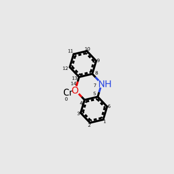 [Cr].c1ccc2c(c1)Nc1ccccc1O2